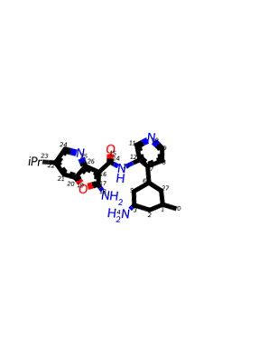 CC1CC(N)CC(c2ccncc2NC(=O)c2c(N)oc3cc(C(C)C)cnc23)C1